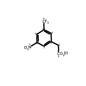 CCOC(=O)Cc1cc([N+](=O)[O-])cc(C(F)(F)F)c1